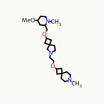 COC1CCN(C)C(COC2CC3(CCN(CCOC4CC5(CCN(C)CC5)C4)C3)C2)C1